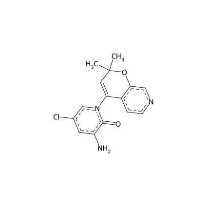 CC1(C)C=C(n2cc(Cl)cc(N)c2=O)c2ccncc2O1